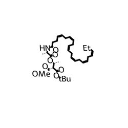 CC/C=C\C/C=C\C/C=C\C/C=C\C/C=C\C/C=C\CCC(=O)N[C@@H](C)C(=O)O[C@H](C)[C@@H](C(=O)OC)C(=O)OC(C)(C)C